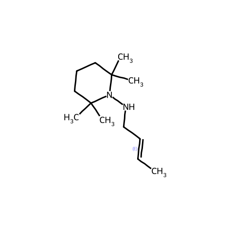 C/C=C/CNN1C(C)(C)CCCC1(C)C